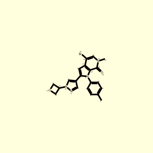 Cc1ccc(-n2c(-c3cnn(C4COC4)c3)cc3c(Br)cn(C)c(=O)c32)cc1